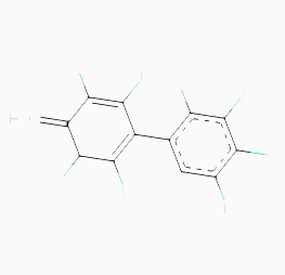 C=C1C(F)=C(F)C(c2cc(F)c(F)c(F)c2F)=C(F)C1F